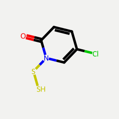 O=c1ccc(Cl)cn1SS